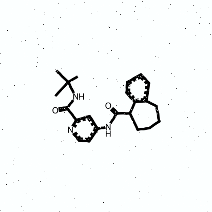 CC(C)(C)NC(=O)c1cc(NC(=O)C2CCCCc3ccccc32)ccn1